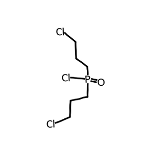 O=P(Cl)(CCCCl)CCCCl